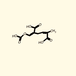 CC(=CCC(=COC(=O)O)C(=O)O)C(=O)O